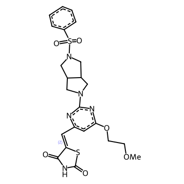 COCCOc1cc(/C=C2\SC(=O)NC2=O)nc(N2CC3CN(S(=O)(=O)c4ccccc4)CC3C2)n1